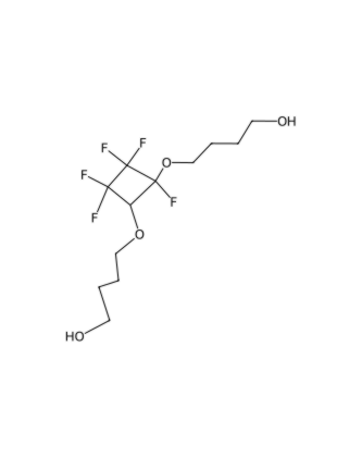 OCCCCOC1C(F)(F)C(F)(F)C1(F)OCCCCO